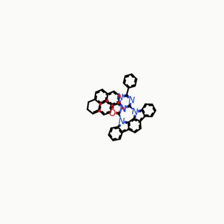 C1=Cc2c(ccc3ccc4nc(-n5c6ccccc6c6ccc7c8ccccc8n(-c8nc(-c9ccccc9)nc(-c9ccccc9)n8)c7c65)oc4c23)CC1